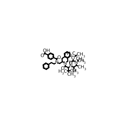 CC(C(=O)NC(C(=O)N1Cc2ccccc2CC1CN(CCc1ccccc1)C(=O)c1ccc(C(=O)O)cc1)C(C)(C)C)N(C)C(=O)OC(C)(C)C